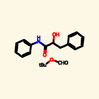 CC(C)(C)OC=O.O=C(Nc1ccccc1)C(O)Cc1ccccc1